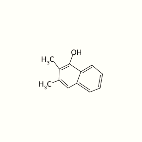 Cc1cc2ccccc2c(O)c1C